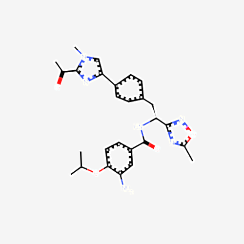 CC(=O)c1nc(-c2ccc(C[C@H](NC(=O)c3ccc(OC(C)C)c(N)c3)c3noc(C)n3)cc2)cn1C